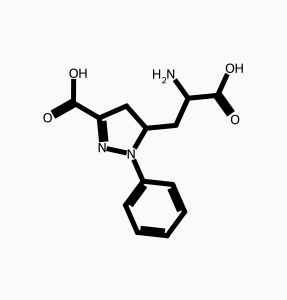 NC(CC1CC(C(=O)O)=NN1c1ccccc1)C(=O)O